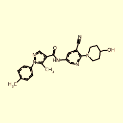 Cc1ccc(-n2ncc(C(=O)Nc3cnc(N4CCC(O)CC4)c(C#N)c3)c2C)cc1